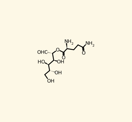 NC(=O)CC[C@H](N)C(=O)O[C@@H](C=O)[C@@H](O)[C@H](O)[C@H](O)CO